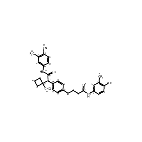 N#Cc1ccc(NC(=O)CCCc2ccc(N(C(=S)Nc3ccc(C#N)c(C(F)(F)F)c3)C3(C=O)CCC3)cc2)cc1C(F)(F)F